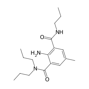 CCCNC(=O)c1cc(C)cc(C(=O)N(CCC)CCC)c1N